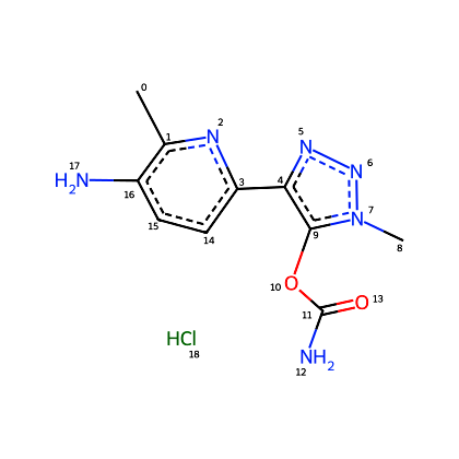 Cc1nc(-c2nnn(C)c2OC(N)=O)ccc1N.Cl